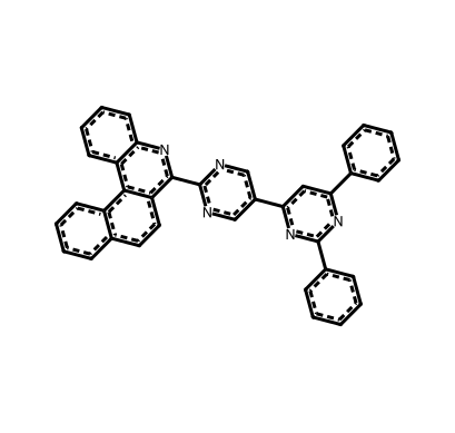 c1ccc(-c2cc(-c3cnc(-c4nc5ccccc5c5c4ccc4ccccc45)nc3)nc(-c3ccccc3)n2)cc1